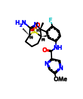 COc1cnc(C(=O)Nc2ccc(F)c([C@@]3(C)N=C(N)[C@]4(C)CCC[C@@]3(C)S4(=O)=O)c2)cn1